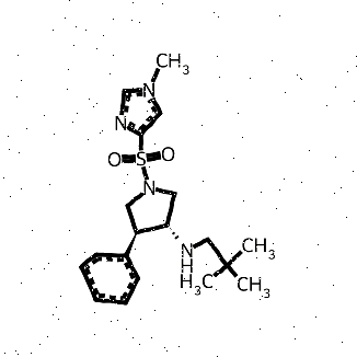 Cn1cnc(S(=O)(=O)N2C[C@H](NCC(C)(C)C)[C@@H](c3ccccc3)C2)c1